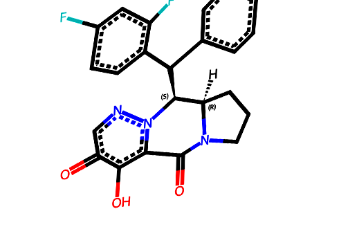 O=C1c2c(O)c(=O)cnn2[C@@H](C(c2ccc(F)cc2)c2ccc(F)cc2F)[C@H]2CCCN12